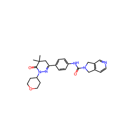 CC1(C)CC(c2ccc(NC(=O)N3Cc4ccncc4C3)cc2)=NN(C2CCOCC2)C1=O